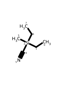 CC[Si](C)(C#N)CC